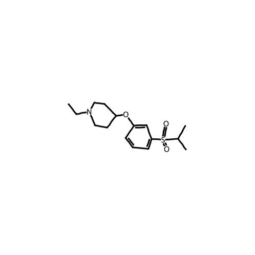 CCN1CCC(Oc2cccc(S(=O)(=O)C(C)C)c2)CC1